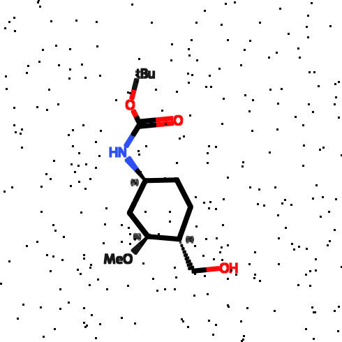 CO[C@H]1C[C@@H](NC(=O)OC(C)(C)C)CC[C@@H]1CO